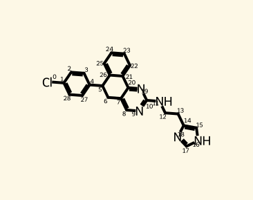 Clc1ccc(C2Cc3cnc(NCCc4c[nH]cn4)nc3-c3ccccc32)cc1